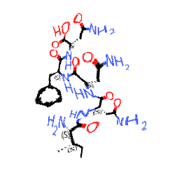 CC[C@H](C)[C@H](N)C(=O)N[C@@H](CC(N)=O)C(=O)N[C@@H](CC(N)=O)C(=O)N[C@@H](Cc1ccccc1)C(=O)N[C@@H](CC(N)=O)C(=O)O